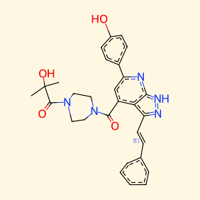 CC(C)(O)C(=O)N1CCN(C(=O)c2cc(-c3ccc(O)cc3)nc3[nH]nc(/C=C/c4ccccc4)c23)CC1